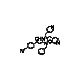 N#Cc1ccc(C(=O)C=C2NC(Cc3ccncc3)(Cc3ccncc3)C(=O)N2Cc2ccccc2)cc1